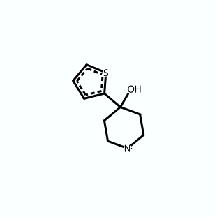 OC1(c2cccs2)CC[N]CC1